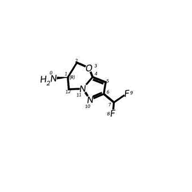 N[C@H]1COc2cc(C(F)F)nn2C1